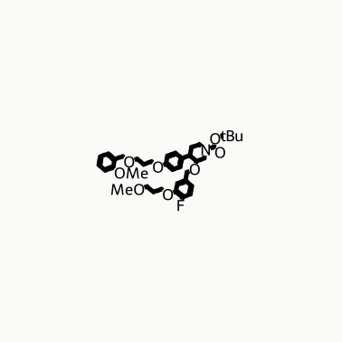 COCCCOc1cc(COC2CN(C(=O)OC(C)(C)C)CCC2c2ccc(OCCCOCc3ccccc3OC)cc2)ccc1F